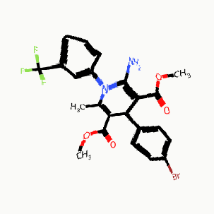 COC(=O)C1=C(C)N(c2cccc(C(F)(F)F)c2)C(N)=C(C(=O)OC)C1c1ccc(Br)cc1